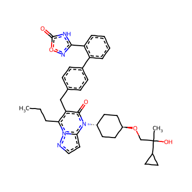 CCCc1c(Cc2ccc(-c3ccccc3-c3noc(=O)[nH]3)cc2)c(=O)n([C@H]2CC[C@H](OCC(C)(O)C3CC3)CC2)c2ccnn12